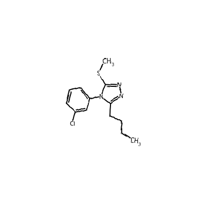 CCCCc1nnc(SC)n1-c1cccc(Cl)c1